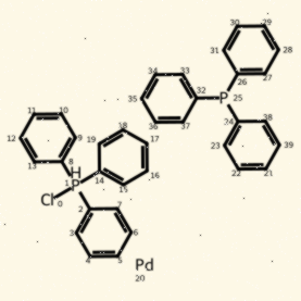 Cl[PH](c1ccccc1)(c1ccccc1)c1ccccc1.[Pd].c1ccc(P(c2ccccc2)c2ccccc2)cc1